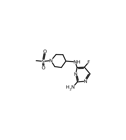 CS(=O)(=O)N1CCC(Nc2nc(N)ncc2F)CC1